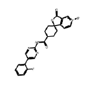 O=C1OC2(CCC(C(=O)Nc3ncc(-c4ccccc4F)cn3)CC2)c2cc[n+]([O-])cc21